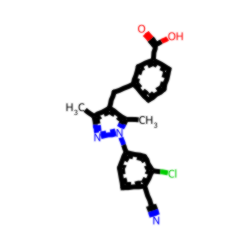 Cc1nn(-c2ccc(C#N)c(Cl)c2)c(C)c1Cc1cccc(C(=O)O)c1